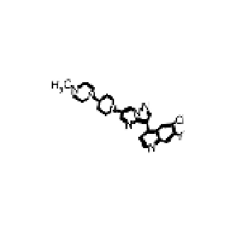 CN1CCN(C2CCN(c3cnc4c(-c5ccnc6cc(F)c(Cl)cc56)cnn4c3)CC2)CC1